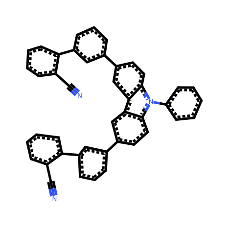 N#Cc1ccccc1-c1cccc(-c2ccc3c(c2)c2cc(-c4cccc(-c5ccccc5C#N)c4)ccc2n3-c2ccccc2)c1